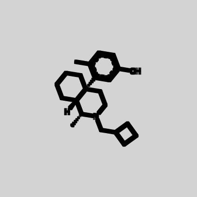 Cc1ccc(O)cc1[C@@]12CCCC[C@H]1[C@@H](C)N(CC1CCC1)CC2